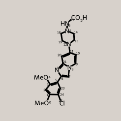 COc1cc(OC)c(-c2cn3ccc(N4CCN(NC(=O)O)CC4)cc3n2)cc1Cl